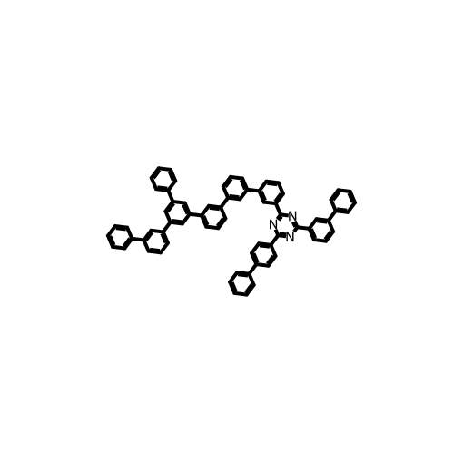 c1ccc(-c2ccc(-c3nc(-c4cccc(-c5ccccc5)c4)nc(-c4cccc(-c5cccc(-c6cccc(-c7cc(-c8ccccc8)cc(-c8cccc(-c9ccccc9)c8)c7)c6)c5)c4)n3)cc2)cc1